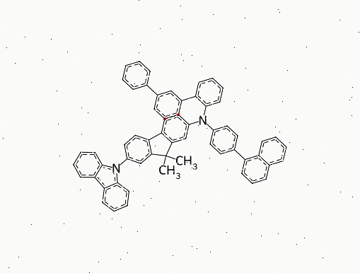 CC1(C)c2cc(N(c3ccc(-c4cccc5ccccc45)cc3)c3ccccc3-c3cccc(-c4ccccc4)c3)ccc2-c2ccc(-n3c4ccccc4c4ccccc43)cc21